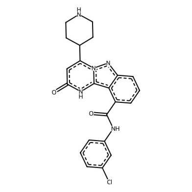 O=C(Nc1cccc(Cl)c1)c1cccc2nn3c(C4CCNCC4)cc(=O)[nH]c3c12